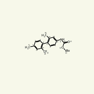 Cc1ccc(-c2ccc(NC(=O)OC(C)(C)C)cc2C)c(C(F)(F)F)c1